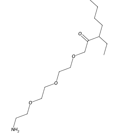 CCCCC(CC)C(=O)COCCOCCOCCN